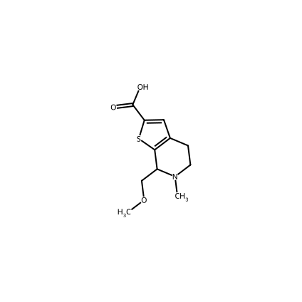 COCC1c2sc(C(=O)O)cc2CCN1C